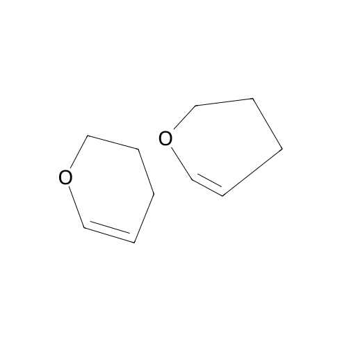 C1=COCCC1.C1=COCCC1